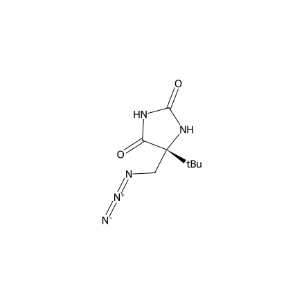 CC(C)(C)[C@]1(CN=[N+]=[N-])NC(=O)NC1=O